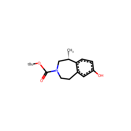 C[C@H]1CN(C(=O)OC(C)(C)C)CCc2cc(O)ccc21